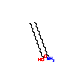 CCCCCCCCCCCCCCCCCC(=O)O.CCCCCCCCCCCCCCCCCCN